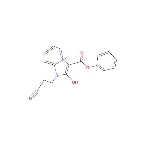 N#CCCn1c(O)c(C(=O)Oc2ccccc2)[n+]2ccccc12